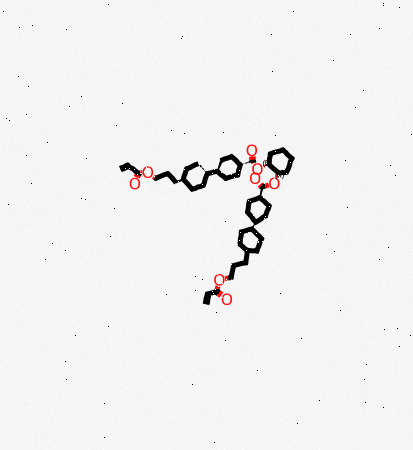 C=CC(=O)OCCCC1CCC([C@H]2CC[C@H](C(=O)O[C@@H]3CCCC[C@H]3OC(=O)[C@H]3CC[C@H]([C@H]4CC[C@H](CCCOC(=O)C=C)CC4)CC3)CC2)CC1